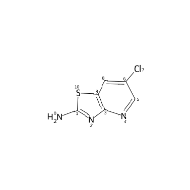 Nc1nc2ncc(Cl)cc2s1